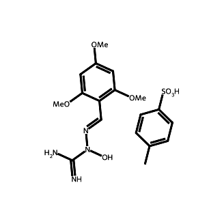 COc1cc(OC)c(C=NN(O)C(=N)N)c(OC)c1.Cc1ccc(S(=O)(=O)O)cc1